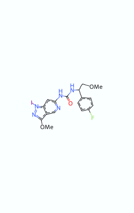 COCC(NC(=O)Nc1cc2c(cn1)c(OC)nn2I)c1ccc(F)cc1